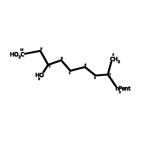 CCCCCC(C)CCCCC(O)CC(=O)O